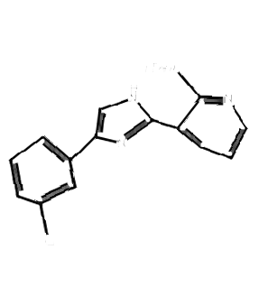 CCCCCc1ncccc1-c1nc(-c2cccc(Cl)c2)c[nH]1